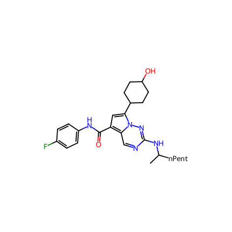 CCCCCC(C)Nc1ncc2c(C(=O)Nc3ccc(F)cc3)cc(C3CCC(O)CC3)n2n1